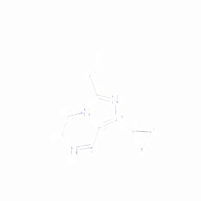 C=Cc1nc(C2CC2)c2n1CCN=C2